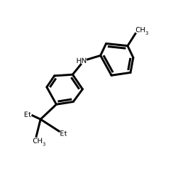 CCC(C)(CC)c1ccc(Nc2cccc(C)c2)cc1